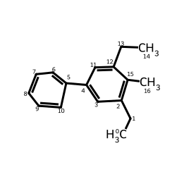 CCc1cc(-c2ccccc2)cc(CC)c1C